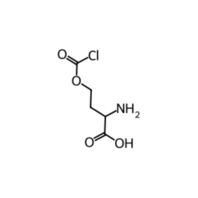 NC(CCOC(=O)Cl)C(=O)O